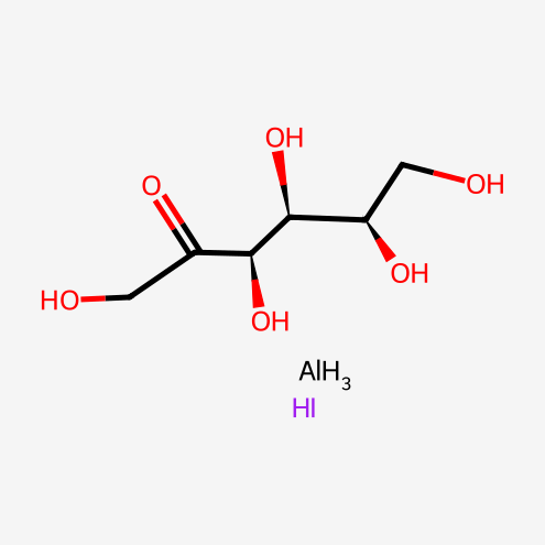 I.O=C(CO)[C@H](O)[C@@H](O)[C@H](O)CO.[AlH3]